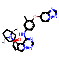 C=CC(=O)N1[C@@H]2CC[C@H]1CC(c1ccn3ncnc(Nc4ccc(Oc5ccn6ncnc6c5)c(C)c4)c13)C2